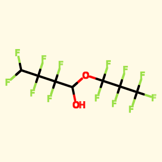 OC(OC(F)(F)C(F)(F)C(F)(F)F)C(F)(F)C(F)(F)C(F)F